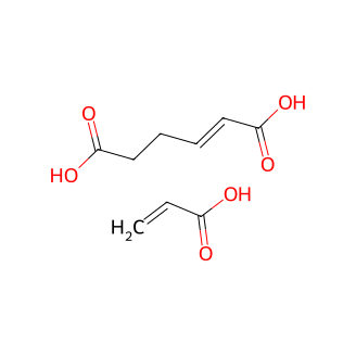 C=CC(=O)O.O=C(O)C=CCCC(=O)O